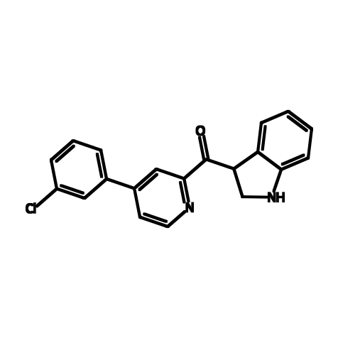 O=C(c1cc(-c2cccc(Cl)c2)ccn1)C1CNc2ccccc21